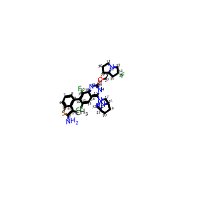 Cc1c(N)sc2cccc(-c3c(Cl)cc4c(N5CC6CCC(C5)N6)nc(OC[C@@]56CCCN5C[C@H](F)C6)nc4c3F)c12